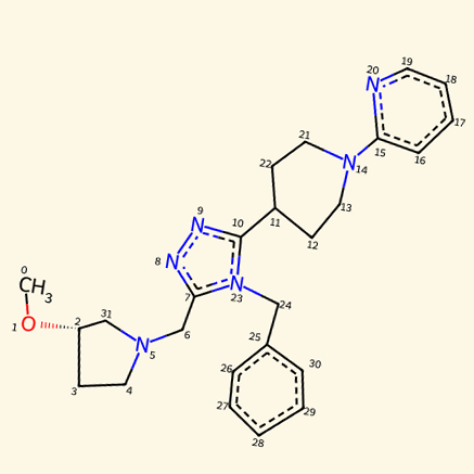 CO[C@H]1CCN(Cc2nnc(C3CCN(c4ccccn4)CC3)n2Cc2ccccc2)C1